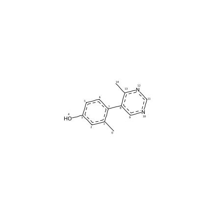 Cc1cc(O)ccc1-c1cncnc1C